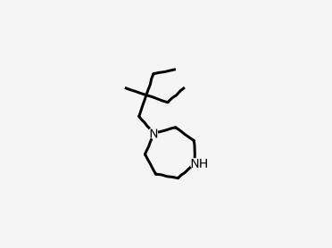 CCC(C)(CC)CN1CCCNCC1